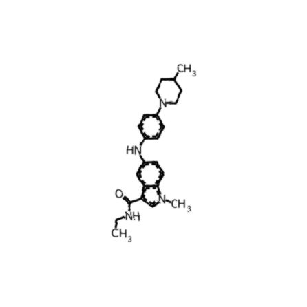 CCNC(=O)c1cn(C)c2ccc(Nc3ccc(N4CCC(C)CC4)cc3)cc12